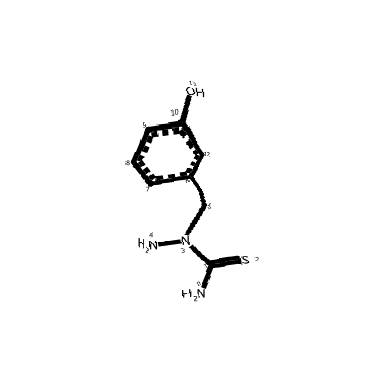 NC(=S)N(N)Cc1cccc(O)c1